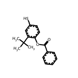 CC(C)(C)c1cc(S)ccc1OC(=O)c1ccccc1